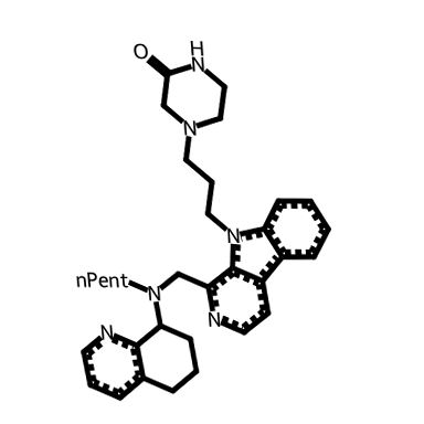 CCCCCN(Cc1nccc2c3ccccc3n(CCCN3CCNC(=O)C3)c12)C1CCCc2cccnc21